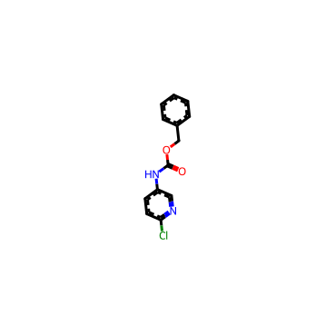 O=C(Nc1ccc(Cl)nc1)OCc1ccccc1